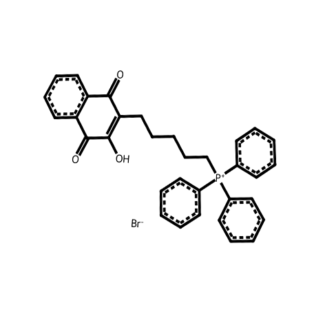 O=C1C(O)=C(CCCCC[P+](c2ccccc2)(c2ccccc2)c2ccccc2)C(=O)c2ccccc21.[Br-]